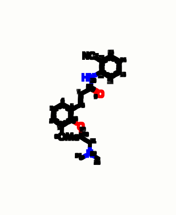 COc1cccc(/C=C/C(=O)Nc2ccccc2C#N)c1OCCN(C)C